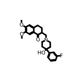 COc1cc2c(cc1OC)C(=O)C(CN1CCC(O)(c3cccc(F)c3)CC1)CC2